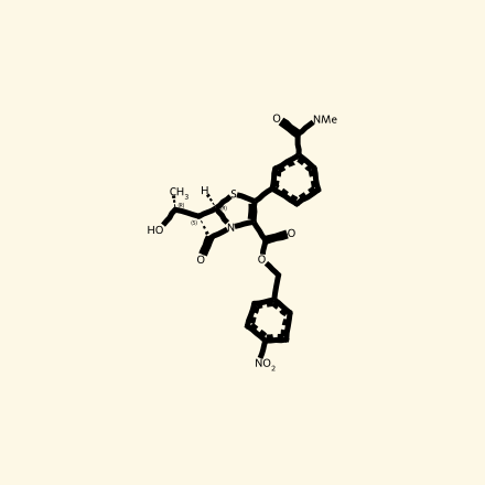 CNC(=O)c1cccc(C2=C(C(=O)OCc3ccc([N+](=O)[O-])cc3)N3C(=O)[C@H]([C@@H](C)O)[C@H]3S2)c1